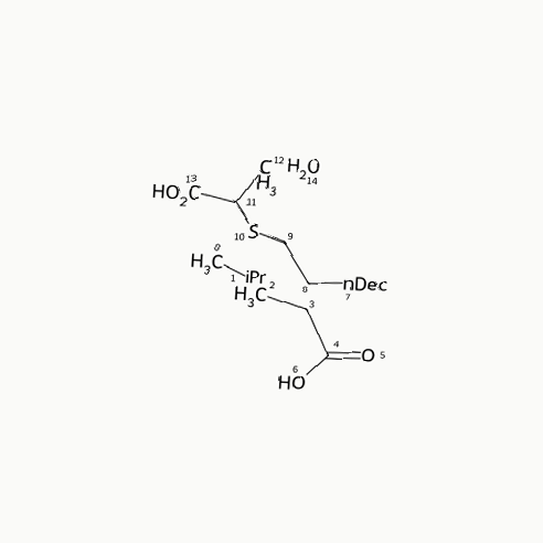 CC(C)C.CCC(=O)O.CCCCCCCCCCCCSC(C)C(=O)O.O